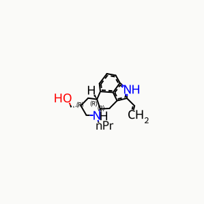 C=Cc1[nH]c2cccc3c2c1C[C@@H]1[C@@H]3C[C@@H](CO)CN1CCC